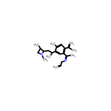 C=CC/N=C(/C)c1cc(C(C)CC2C(C)CN2C)c(C)cc1C(=C)C